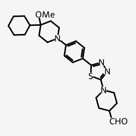 COC1(C2CCCCC2)CCN(c2ccc(-c3nnc(N4CCC(C=O)CC4)s3)cc2)CC1